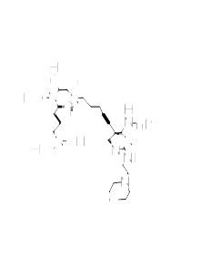 CCCNc1nc(NCCN2CCOCC2)ncc1C#CCCCNC(=O)C(C)N(C)C(=O)C=CCN(C)C